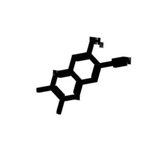 Cc1nc2cc(N)c(C#N)cc2nc1C